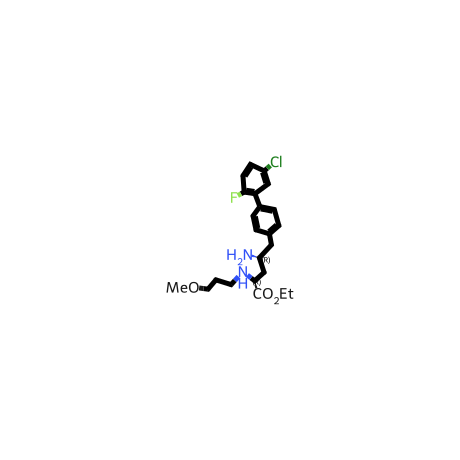 CCOC(=O)[C@@H](C[C@H](N)Cc1ccc(-c2cc(Cl)ccc2F)cc1)NCCCOC